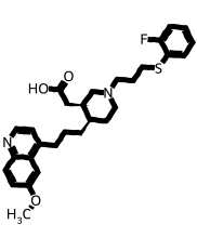 COc1ccc2nccc(CCC[C@@H]3CCN(CCCSc4ccccc4F)C[C@@H]3CC(=O)O)c2c1